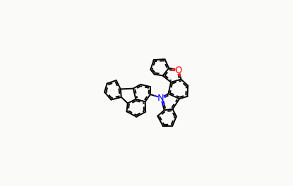 c1ccc2c(c1)-c1cccc3c(-n4c5ccccc5c5ccc6oc7ccccc7c6c54)ccc-2c13